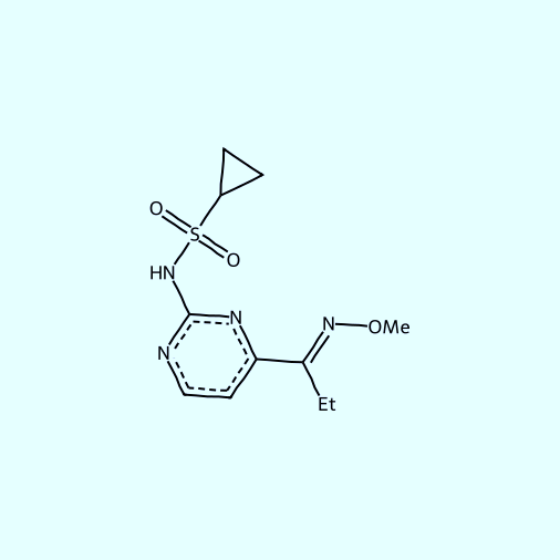 CCC(=NOC)c1ccnc(NS(=O)(=O)C2CC2)n1